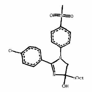 CCCCCCCCC1(O)CN(c2ccc(S(C)(=O)=O)cc2)C(c2ccc(Cl)cc2)=N1